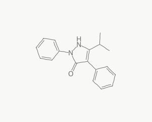 CC(C)c1[nH]n(-c2ccccc2)c(=O)c1-c1ccccc1